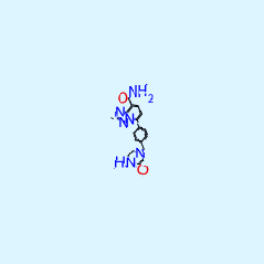 NC(=O)c1ccc(-c2ccc(CN3CCNC(=O)C3)cc2)n2n[c]nc12